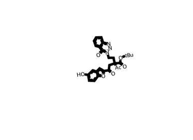 CC(=O)C(CCn1nnc2ccccc2c1=O)(CC(=O)c1cc2cc(O)ccc2o1)C(=O)OC(C)(C)C